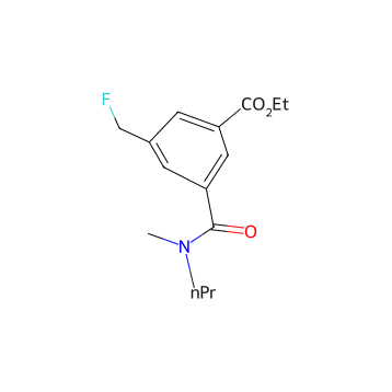 CCCN(C)C(=O)c1cc(CF)cc(C(=O)OCC)c1